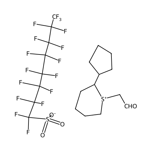 O=CC[S+]1CCCCC1C1CCCC1.O=S(=O)([O-])C(F)(F)C(F)(F)C(F)(F)C(F)(F)C(F)(F)C(F)(F)C(F)(F)C(F)(F)F